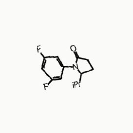 CC(C)C1CCC(=O)N1c1cc(F)cc(F)c1